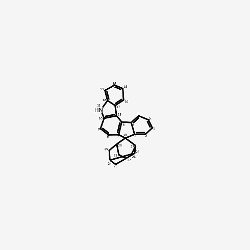 c1ccc2c(c1)-c1c(ccc3[nH]c4ccccc4c13)C21C2CC3CC(C2)CC1C3